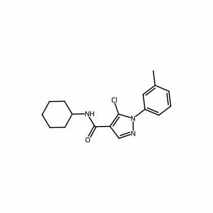 Cc1cccc(-n2ncc(C(=O)NC3CCCCC3)c2Cl)c1